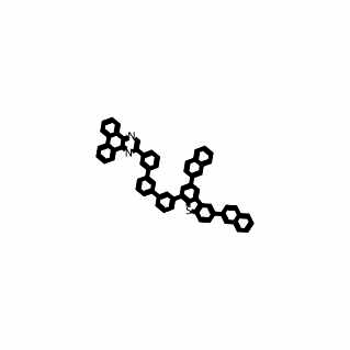 c1cc(-c2cccc(-c3cnc4c5ccccc5c5ccccc5c4n3)c2)cc(-c2cccc(-c3cc(-c4ccc5ccccc5c4)cc4c3sc3ccc(-c5ccc6ccccc6c5)cc34)c2)c1